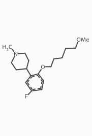 COCCCCCOc1ccc(F)cc1C1CCN(C)CC1